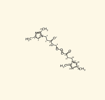 Cc1cn(CCC(=O)OCOOOC(=O)CCn2cc(C)nc2C)c(C)n1